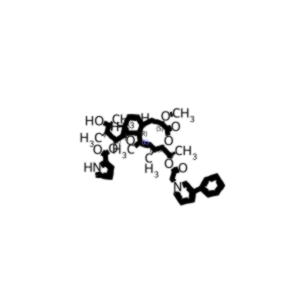 CO[C@H]1C[C@H]2C=C[C@@H]3C[C@]2(O[C@H]3[C@H](OC(=O)c2ccc[nH]2)[C@H](C)[C@H](C)O)/C(C)=C/[C@@H](C)[C@@H]([C@@H](C)OC(=O)C[n+]2cccc(-c3ccccc3)c2)OC1=O